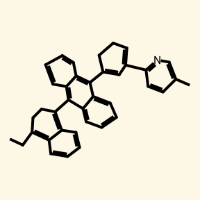 CCC1=c2ccccc2=C(c2c3ccccc3c(C3=CC(c4ccc(C)cn4)=CCC3)c3ccccc23)CC1